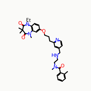 CCN1C(=O)C(C)(C)C(=O)N(C)c2cc(OCCCc3cc(CNCCN(C)C(=O)c4ccccc4C)ccn3)ccc21